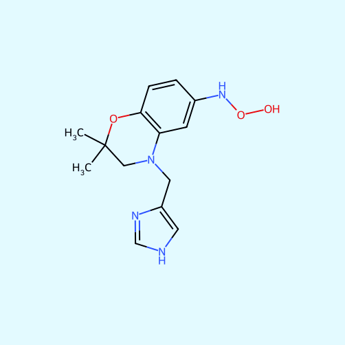 CC1(C)CN(Cc2c[nH]cn2)c2cc(NOO)ccc2O1